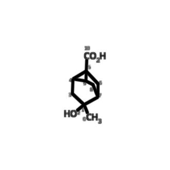 CC1(O)CC2CCC1CC2C(=O)O